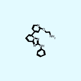 NCCOc1cc(-c2cccc3nc(Nc4ccccc4)nn23)ccn1